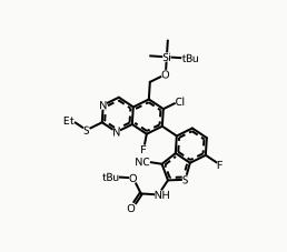 CCSc1ncc2c(CO[Si](C)(C)C(C)(C)C)c(Cl)c(-c3ccc(F)c4sc(NC(=O)OC(C)(C)C)c(C#N)c34)c(F)c2n1